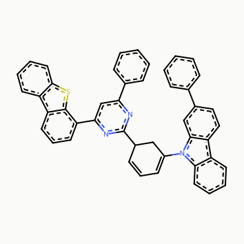 C1=CC(c2nc(-c3ccccc3)cc(-c3cccc4c3sc3ccccc34)n2)CC(n2c3ccccc3c3ccc(-c4ccccc4)cc32)=C1